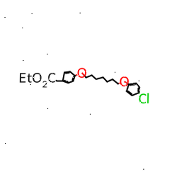 CCOC(=O)Cc1ccc(OCCCCCCCOc2ccc(Cl)cc2)cc1